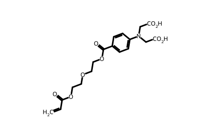 C=CC(=O)OCCOCCOC(=O)c1ccc(N(CC(=O)O)CC(=O)O)cc1